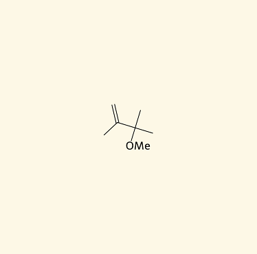 C=C(C)C(C)(C)OC